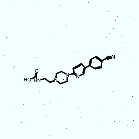 N#Cc1ccc(-c2ccc(N3CCN(CCNC(=O)O)CC3)nc2)cc1